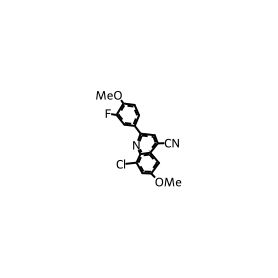 COc1cc(Cl)c2nc(-c3ccc(OC)c(F)c3)cc(C#N)c2c1